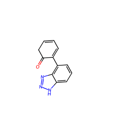 O=C1CC=CC=C1c1cccc2[nH]nnc12